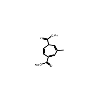 COC(=O)C1=CC(C)=CC(C(=O)OC)C=C1